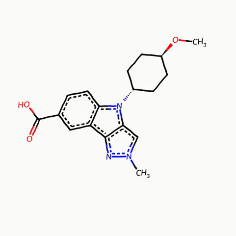 CO[C@H]1CC[C@H](n2c3ccc(C(=O)O)cc3c3nn(C)cc32)CC1